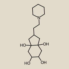 OC1CC2(O)CC(CCN3CCCCC3)CC2(O)CC1O